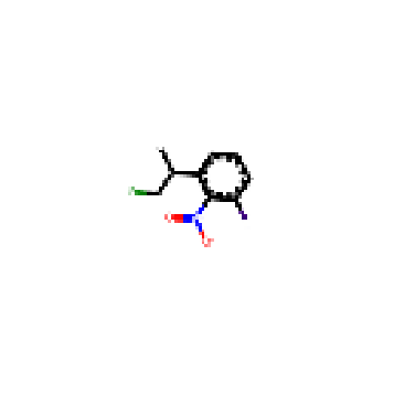 [CH2]C(CF)c1cccc(I)c1[N+](=O)[O-]